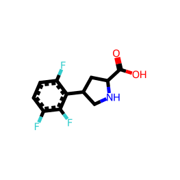 O=C(O)C1CC(c2c(F)ccc(F)c2F)CN1